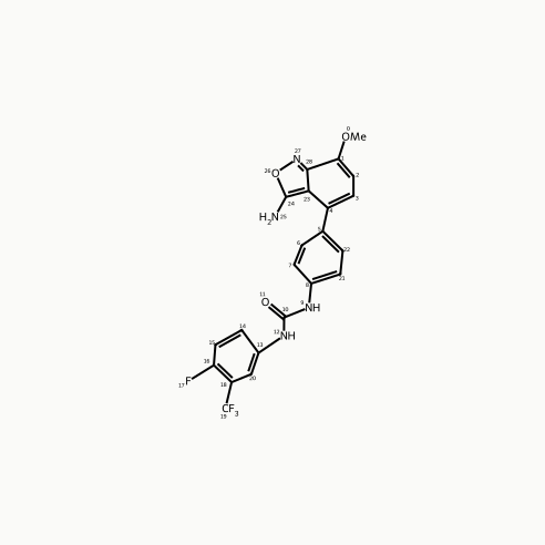 COc1ccc(-c2ccc(NC(=O)Nc3ccc(F)c(C(F)(F)F)c3)cc2)c2c(N)onc12